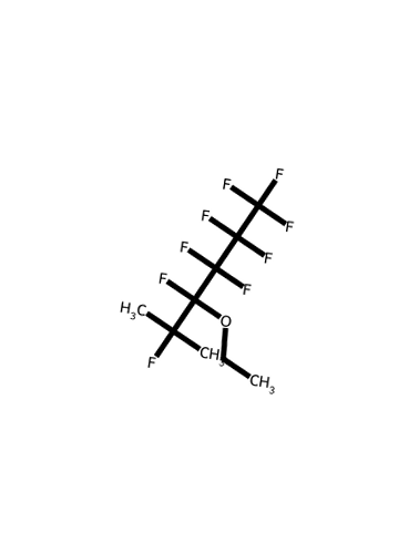 CCOC(F)(C(C)(C)F)C(F)(F)C(F)(F)C(F)(F)F